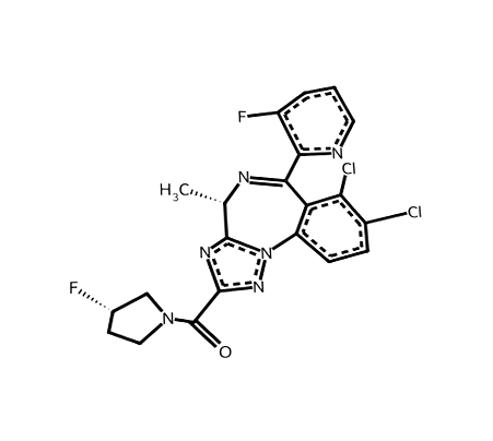 C[C@@H]1N=C(c2ncccc2F)c2c(ccc(Cl)c2Cl)-n2nc(C(=O)N3CC[C@H](F)C3)nc21